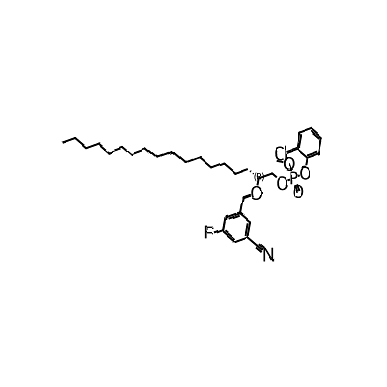 CCCCCCCCCCCCCCCC[C@H](COP(=O)(OC)Oc1ccccc1Cl)OCc1cc(F)cc(C#N)c1